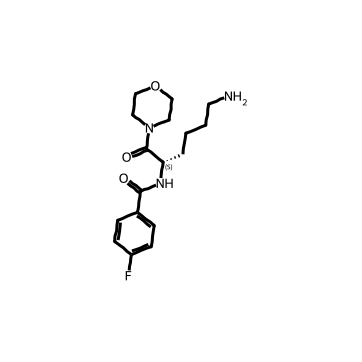 NCCCC[C@H](NC(=O)c1ccc(F)cc1)C(=O)N1CCOCC1